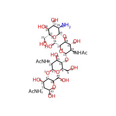 CC(=O)N[C@@H]1[C@@H](O)[C@H](O[C@@H]2O[C@H](CO)[C@@H](O[C@@H]3O[C@H](CO)[C@@H](O[C@@H]4O[C@H](CO)[C@@H](O)[C@H](O)[C@H]4N)[C@H](O)[C@H]3NC(C)=O)[C@H](O)[C@H]2NC(C)=O)[C@@H](CO)O[C@H]1O